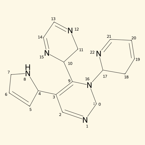 [C]1N=CC(C2C=CCN2)=C(C2CN=CC=N2)N1C1CC=CC=N1